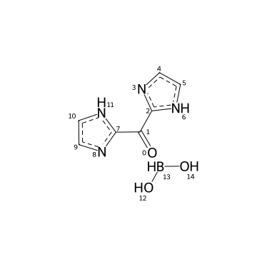 O=C(c1ncc[nH]1)c1ncc[nH]1.OBO